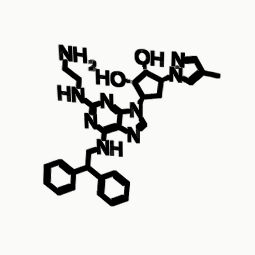 Cc1cnn([C@H]2C[C@@H](n3cnc4c(NCC(c5ccccc5)c5ccccc5)nc(NCCN)nc43)[C@H](O)[C@@H]2O)c1